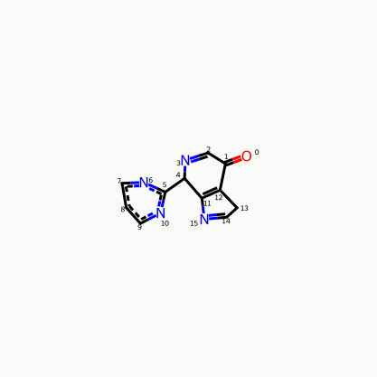 O=C1C=NC(c2ncccn2)C2=C1CC=N2